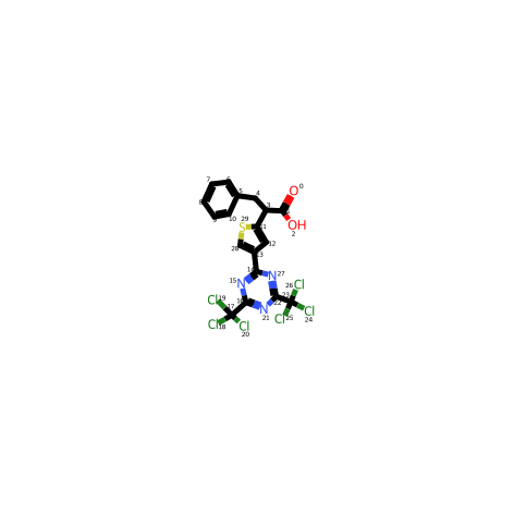 O=C(O)C(Cc1ccccc1)c1cc(-c2nc(C(Cl)(Cl)Cl)nc(C(Cl)(Cl)Cl)n2)cs1